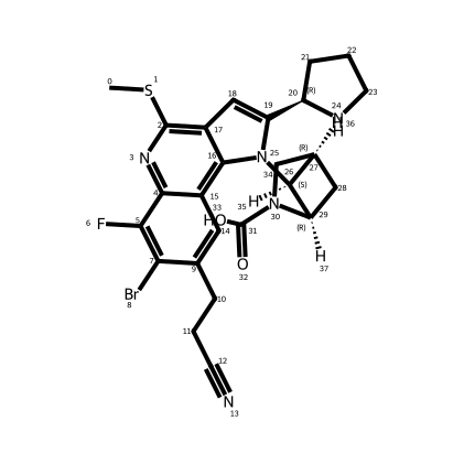 CSc1nc2c(F)c(Br)c(CCC#N)cc2c2c1cc([C@H]1CCCN1)n2[C@H]1[C@@H]2C[C@H]1N(C(=O)O)C2